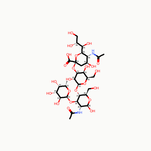 CC(=O)N[C@@H]1[C@@H](O[C@@H]2O[C@@H](C)[C@@H](O)[C@@H](O)[C@@H]2O)[C@H](O[C@@H]2O[C@H](CO)[C@H](O)[C@H](O[C@]3(C(=O)O)C[C@H](O)[C@@H](NC(C)=O)[C@H]([C@H](O)[C@H](O)CO)O3)[C@H]2O)[C@@H](CO)O[C@H]1O